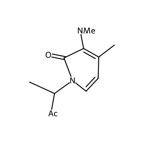 CNc1c(C)ccn(C(C)C(C)=O)c1=O